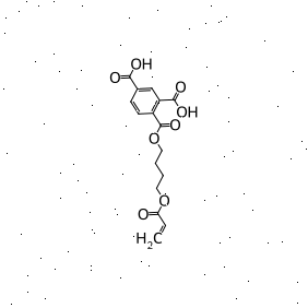 C=CC(=O)OCCCCOC(=O)c1ccc(C(=O)O)cc1C(=O)O